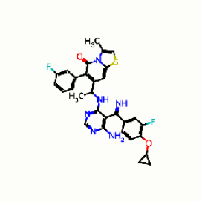 Cc1csc2cc([C@H](C)Nc3ncnc(N)c3C(=N)c3ccc(OC4CC4)c(F)c3)c(-c3cccc(F)c3)c(=O)n12